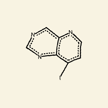 Ic1ccnc2cncnc12